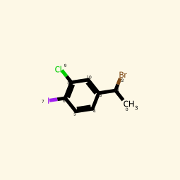 CC(Br)c1ccc(I)c(Cl)c1